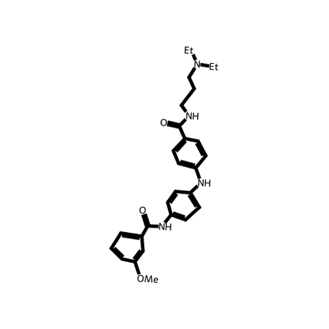 CCN(CC)CCCNC(=O)c1ccc(Nc2ccc(NC(=O)c3cccc(OC)c3)cc2)cc1